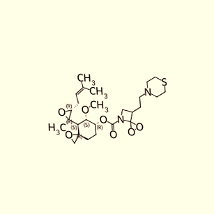 CO[C@@H]1[C@H](OC(=O)N2CC(CCN3CCSCC3)C23OO3)CC[C@]2(CO2)[C@H]1[C@@]1(C)O[C@@H]1CC=C(C)C